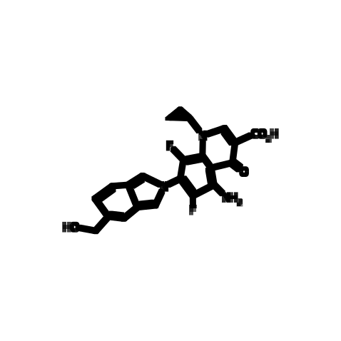 Nc1c(F)c(-n2cc3ccc(CO)cc3c2)c(F)c2c1c(=O)c(C(=O)O)cn2C1CC1